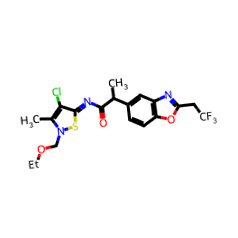 CCOCn1sc(=NC(=O)C(C)c2ccc3oc(CC(F)(F)F)nc3c2)c(Cl)c1C